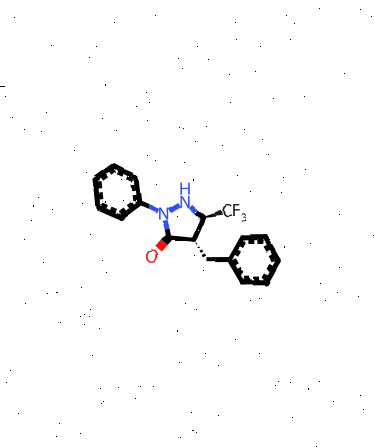 O=C1[C@@H](Cc2ccccc2)[C@H](C(F)(F)F)NN1c1ccccc1